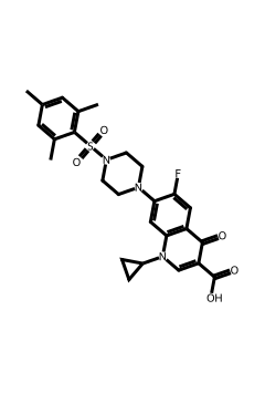 Cc1cc(C)c(S(=O)(=O)N2CCN(c3cc4c(cc3F)c(=O)c(C(=O)O)cn4C3CC3)CC2)c(C)c1